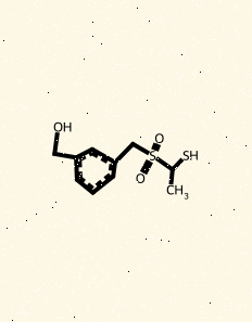 CC(S)S(=O)(=O)Cc1cccc(CO)c1